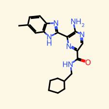 Cc1ccc2nc(-c3nc(C(=O)NCC4CCCCC4)cnc3N)[nH]c2c1